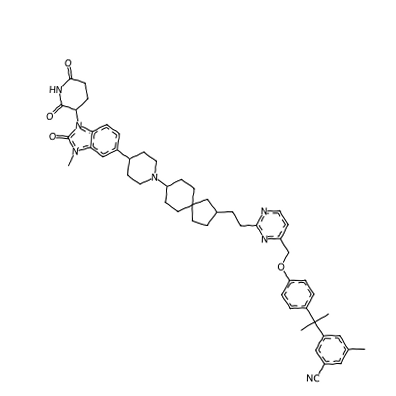 Cc1cc(C#N)cc(C(C)(C)c2ccc(OCc3ccnc(CCC4CCC5(CCC(N6CCC(c7ccc8c(c7)n(C)c(=O)n8C7CCC(=O)NC7=O)CC6)CC5)C4)n3)cc2)c1